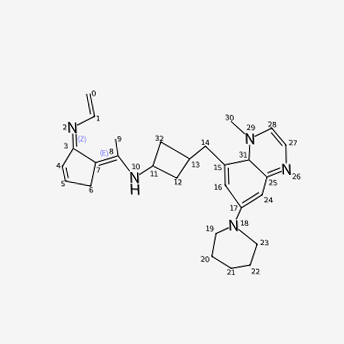 C=C/N=C1/C=CC/C1=C(/C)NC1CC(CC2=CC(N3CCCCC3)=CC3=NC=CN(C)C23)C1